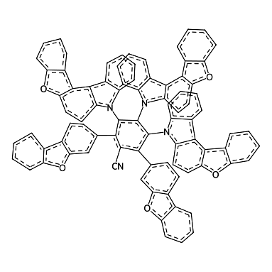 N#Cc1c(-c2ccc3c(c2)oc2ccccc23)c(-n2c3ccccc3c3c4c(ccc32)oc2ccccc24)c(-n2c3ccccc3c3c4c(ccc32)oc2ccccc24)c(-n2c3ccccc3c3c4c(ccc32)oc2ccccc24)c1-c1ccc2c(c1)oc1ccccc12